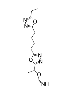 CCc1nnc(CCCCc2nnc(C(C)OC=N)o2)o1